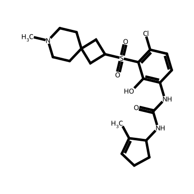 CC1=CCCC1NC(=O)Nc1ccc(Cl)c(S(=O)(=O)C2CC3(CCN(C)CC3)C2)c1O